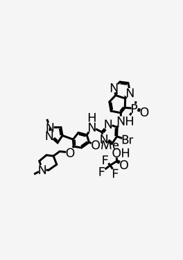 COc1cc(OCC2CCN(C)CC2)c(-c2cnn(C)c2)cc1Nc1ncc(Br)c(Nc2ccc3nccnc3c2P(C)(C)=O)n1.O=C(O)C(F)(F)F